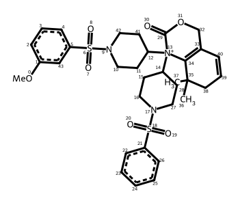 COc1cccc(S(=O)(=O)N2CCC([N+]3(C4CCN(S(=O)(=O)c5ccccc5)CC4)C(=O)OCC4=C3C(C)(C)CC=C4)CC2)c1